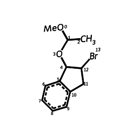 COC(C)OC1c2ccccc2CC1Br